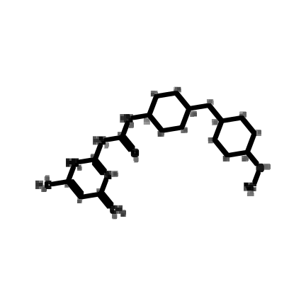 C=C1C=C(C)NC(NC(=O)NC2CCC(CC3CCC(OC#N)CC3)CC2)=N1